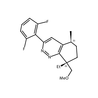 CC[C@]1(COC)CC[C@H](C)c2cc(-c3c(F)cccc3F)nnc21